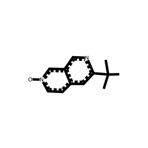 CC(C)(C)c1cc2cc[n+]([O-])cc2cn1